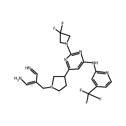 N=C/C(=C\N)CN1CCC(c2cc(Nc3cc(C(F)(F)F)ccn3)nc(N3CC(F)(F)C3)n2)C1